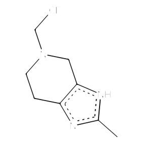 Cc1nc2c([nH]1)CN(CC(F)(F)F)CC2